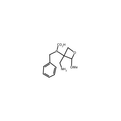 COC1OCC1(CN)N(Cc1ccccc1)C(=O)O